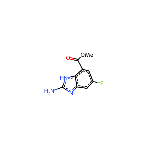 COC(=O)c1cc(F)cc2nc(N)[nH]c12